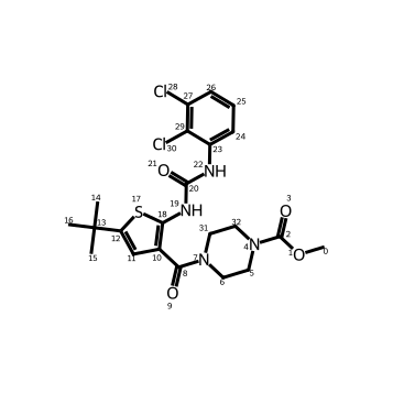 COC(=O)N1CCN(C(=O)c2cc(C(C)(C)C)sc2NC(=O)Nc2cccc(Cl)c2Cl)CC1